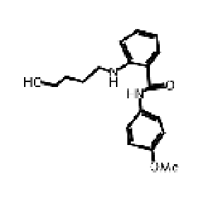 COc1ccc(NC(=O)c2ccccc2NCCCCO)cc1